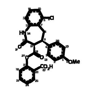 COc1ccc([C@@H]2Cc3c(Cl)cccc3NC(=O)[C@@H]2C(=O)Oc2ccccc2C(=O)O)cc1